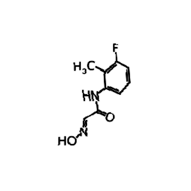 Cc1c(F)cccc1NC(=O)/C=N/O